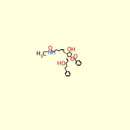 CCNC(=O)CCC/C=C\C[C@@H]1[C@@H](/C=C/[C@@H](O)CCc2ccccc2)[C@H](OC(=O)c2ccccc2)C[C@@H]1O